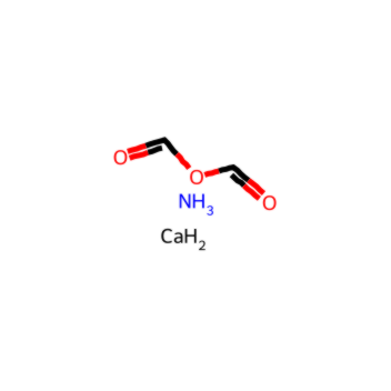 N.O=COC=O.[CaH2]